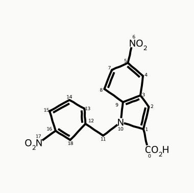 O=C(O)c1cc2cc([N+](=O)[O-])ccc2n1Cc1cccc([N+](=O)[O-])c1